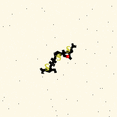 CCC1=C(C(C)(C)C(C)(C)c2ccc(C(C)(CC)c3sc(C(C)C)cc3CC)s2)SC(C(C)C)C1